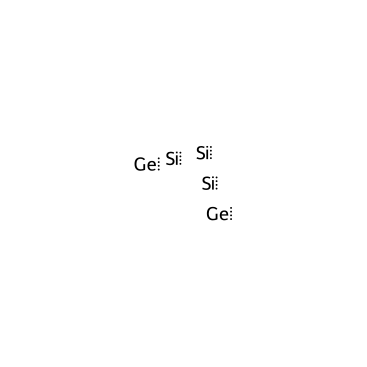 [Ge].[Ge].[Si].[Si].[Si]